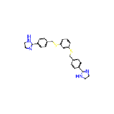 c1cc(SCc2ccc(C3=NCCN3)cc2)cc(SCc2ccc(C3=NCCN3)cc2)c1